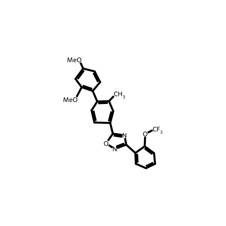 COc1ccc(-c2ccc(-c3nc(-c4ccccc4OC(F)(F)F)no3)cc2C)c(OC)c1